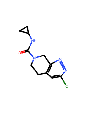 O=C(NC1CC1)N1CCc2cc(Cl)nnc2C1